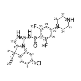 C#CC(C)(c1ccc(Cl)cc1)c1c[nH]c(NC(=O)c2c(F)cc(N3CCNCC3)cc2F)n1